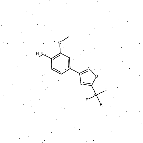 COc1cc(-c2noc(C(F)(F)F)n2)ccc1N